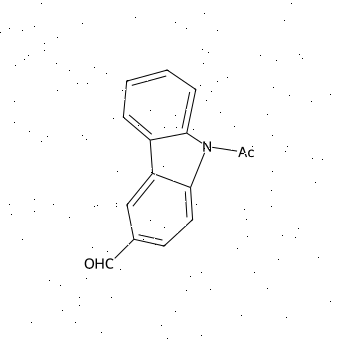 CC(=O)n1c2ccccc2c2cc(C=O)ccc21